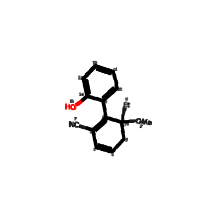 CC[C@@]1(OC)CC=CC(C#N)=C1c1ccccc1O